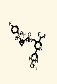 O=C(NCc1cc(-c2cnc(C(F)(F)F)nc2)ncc1C(F)F)[C@@H]1C2CC(C2)N1S(=O)(=O)c1ccc(F)cc1